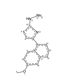 COc1ccc2c(-c3csc(NN)n3)cccc2c1